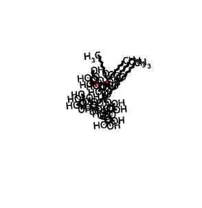 CCCCCCCOCC(COCCCCCCC)COCC(COCC(COCCCCCCC)COCCCCCCC)COCC(CO[C@@H]1OC(CO)[C@@H](O[C@H]2OC(CO)[C@@H](O)C(O)C2O)C(O)C1O)(CO[C@@H]1OC(CO)[C@@H](O[C@H]2OC(CO)[C@@H](O)[C@H](O)C2O)C(O)C1O)CO[C@@H]1OC(CO)[C@H](O[C@H]2OC(CO)[C@@H](O)C(O)C2O)C(O)C1O